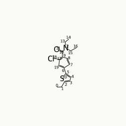 CCc1ccc(-c2ccc(C(=O)N(CC)CC)c(Cl)c2)s1